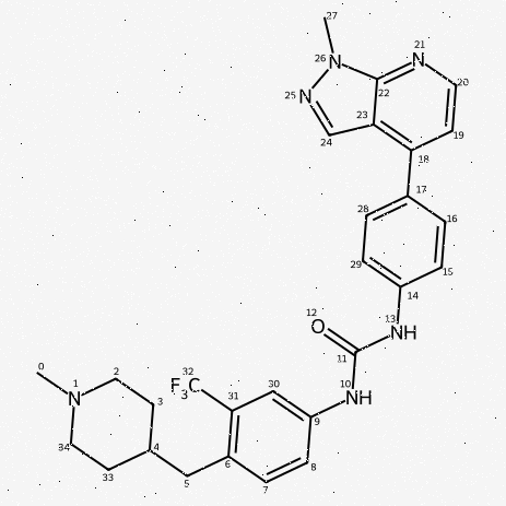 CN1CCC(Cc2ccc(NC(=O)Nc3ccc(-c4ccnc5c4cnn5C)cc3)cc2C(F)(F)F)CC1